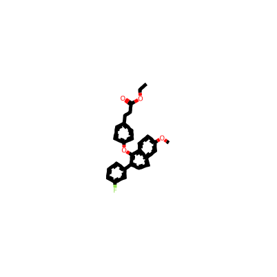 CCOC(=O)CCc1ccc(Oc2c(-c3cccc(F)c3)ccc3cc(OC)ccc23)cc1